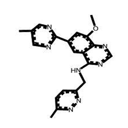 COc1cc(-c2ncc(C)cn2)cc2c(NCc3ccc(C)nn3)ncnc12